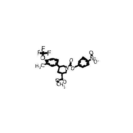 COC(=O)C1CC(c2ccc(OC(F)(F)F)c(C)c2)CN(C(=O)Oc2ccc([N+](=O)[O-])cc2)C1